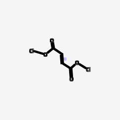 O=C(/C=C/C(=O)OCl)OCl